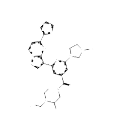 CCN(CC)C(C)CNC(=O)c1cc(-c2cnn3ccc(-c4cccs4)nc23)nc(N2CCN(O)C2)c1